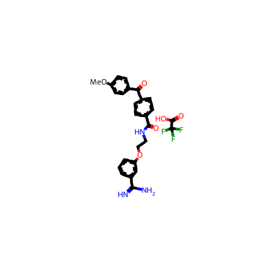 COc1ccc(C(=O)c2ccc(C(=O)NCCOc3cccc(C(=N)N)c3)cc2)cc1.O=C(O)C(F)(F)F